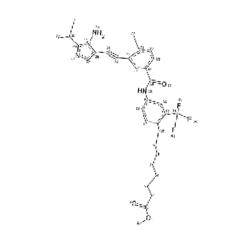 COC(=O)CCCCCCCc1ccc(NC(=O)c2ccc(C)c(C#Cc3cnc(C(C)C)n3N)c2)cc1C(F)(F)F